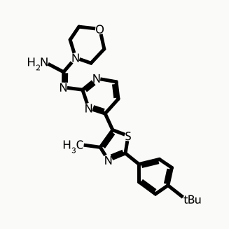 Cc1nc(-c2ccc(C(C)(C)C)cc2)sc1-c1ccnc(N=C(N)N2CCOCC2)n1